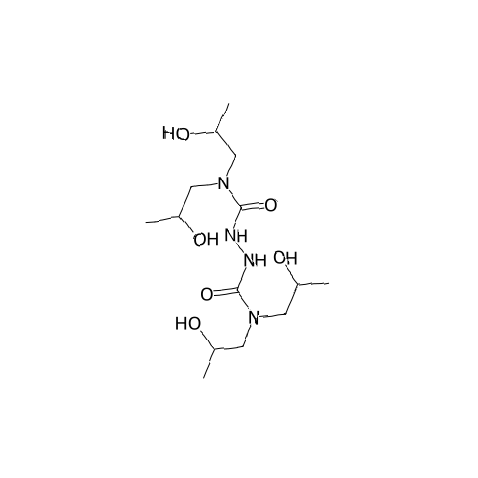 CC(O)CN(CC(C)O)C(=O)NNC(=O)N(CC(C)O)CC(C)O